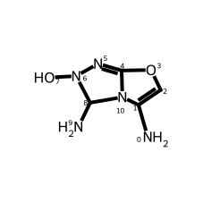 NC1=COC2=NN(O)C(N)N12